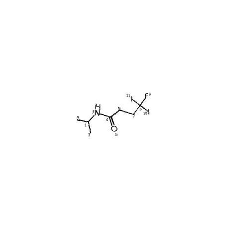 CC(C)NC(=O)CCC(F)(I)I